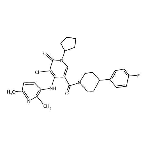 Cc1ccc(Nc2c(C(=O)N3CCC(c4ccc(F)cc4)CC3)cn(C3CCCC3)c(=O)c2Cl)c(C)n1